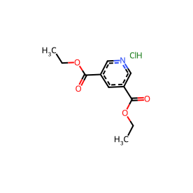 CCOC(=O)c1cncc(C(=O)OCC)c1.Cl